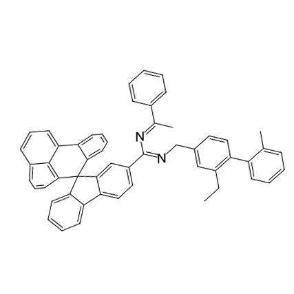 CCc1cc(C/N=C(\N=C(/C)c2ccccc2)c2ccc3c(c2)C2(c4ccccc4-3)c3ccccc3-c3cccc4cccc2c34)ccc1-c1ccccc1C